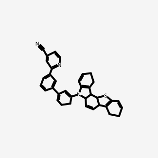 N#Cc1ccnc(-c2cccc(C3=CCCC(N4C5=C(CCC=C5)C5C6SC7=C(CCC=C7)C6C=CC54)=C3)c2)c1